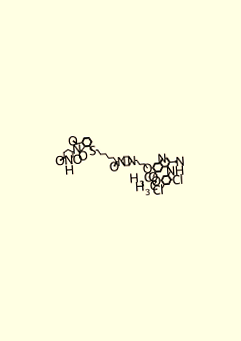 COc1cc(Nc2c(C#N)cnc3cc(OCCCN4CCN(C(=O)CCCCCSc5cccc6c5C(=O)N(C5CCC(=O)NC5=O)C6=O)CC4)c(OC)cc23)c(Cl)cc1Cl